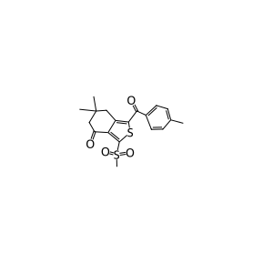 Cc1ccc(C(=O)c2sc(S(C)(=O)=O)c3c2CC(C)(C)CC3=O)cc1